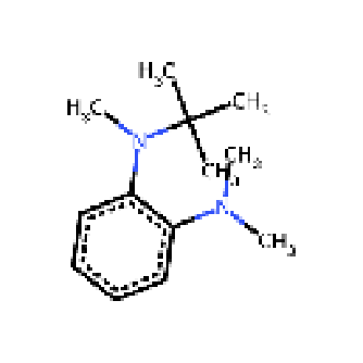 CN(C)c1ccccc1N(C)C(C)(C)C